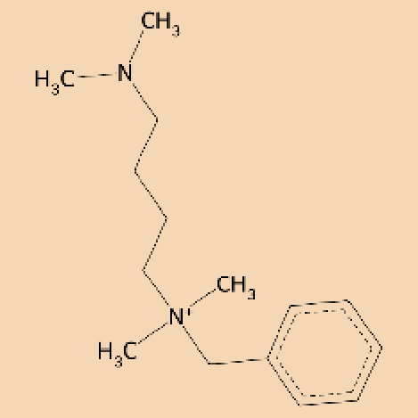 CN(C)CCCC[N+](C)(C)Cc1ccccc1